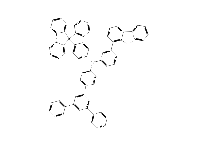 c1ccc(-c2cc(-c3ccccc3)cc(-c3ccc(N(c4ccc(C5(c6ccccc6)c6ccccc6-c6ccccc65)cc4)c4cccc(-c5cccc6c5sc5ccccc56)c4)cc3)c2)cc1